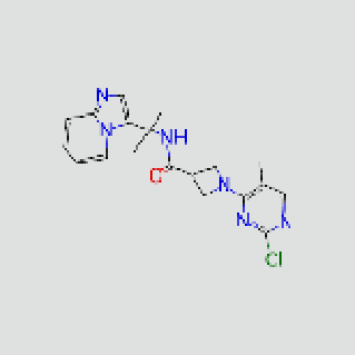 Cc1cnc(Cl)nc1N1CC(C(=O)NC(C)(C)c2cnc3ccccn23)C1